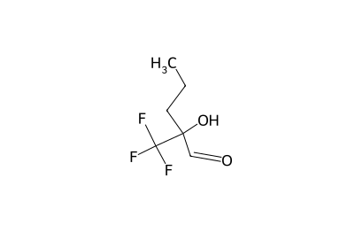 CCCC(O)(C=O)C(F)(F)F